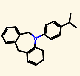 CC(C)c1ccc(N2Cc3ccccc3CC3=C2CCC=C3)cc1